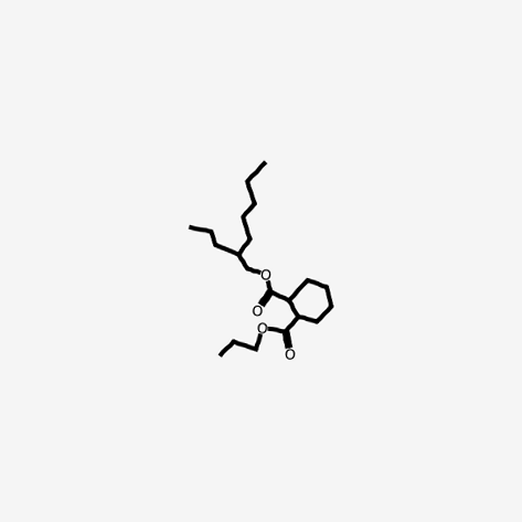 CCCCCC(CCC)COC(=O)C1CCCCC1C(=O)OCCC